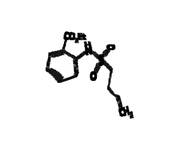 C=CCCS(=O)(=O)Nc1ccccc1C(=O)OCC